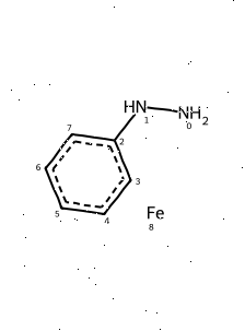 NNc1ccccc1.[Fe]